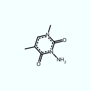 Cc1cn(C)c(=O)n(N)c1=O